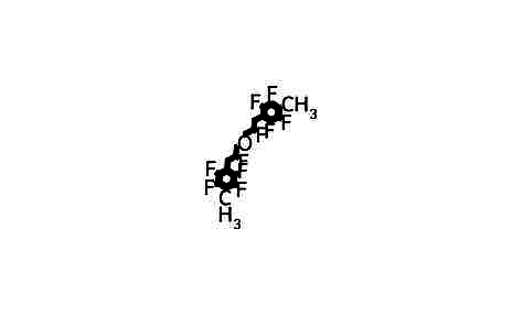 Cc1c(F)c(F)c(CC(F)COCC(F)Cc2c(F)c(F)c(C)c(F)c2F)c(F)c1F